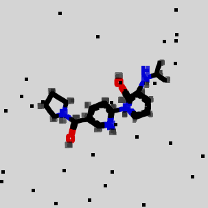 CC(C)Nc1cccn(-c2ccc(C(=O)N3CCCC3)cn2)c1=O